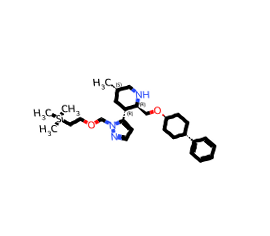 C[C@@H]1CN[C@@H](CO[C@H]2CC[C@@H](c3ccccc3)CC2)[C@H](c2ccnn2COCC[Si](C)(C)C)C1